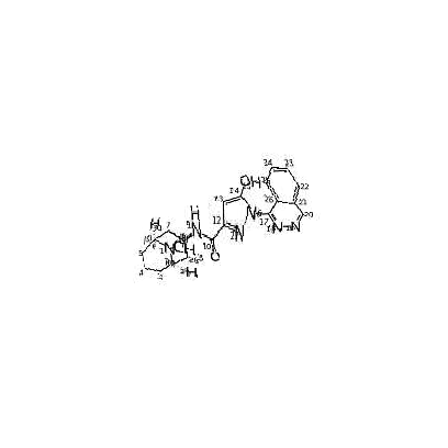 CN1[C@@H]2CCC[C@H]1C[C@@H](NC(=O)c1cc(O)n(-c3nncc4ccccc34)n1)C2